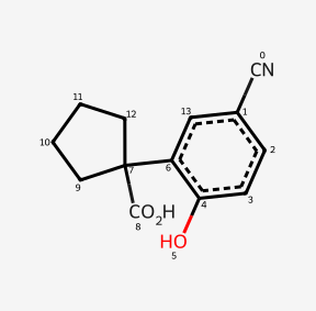 N#Cc1ccc(O)c(C2(C(=O)O)CCCC2)c1